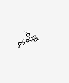 Cc1ccc2c(Nc3cc(C(=O)Nc4cccc(Br)c4)sc3Sc3ccc(O)cc3)ncnc2n1